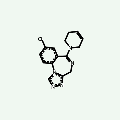 Clc1ccc2c(c1)C(N1CC=CCC1)=NCc1nncn1-2